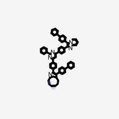 C1=C\CCC2CC(=NC(c3ccc(-c4cc(-c5ccc(-c6nc7ccccn7c6-c6ccc(-c7ccccc7)cc6)cc5)nc(-c5ccccc5)n4)cc3)=C2c2ccc(-c3ccccc3)cc2)\C=C/1